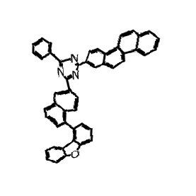 c1ccc(-c2nc(-c3ccc4c(-c5cccc6oc7ccccc7c56)cccc4c3)nc(-c3ccc4c(ccc5c6ccccc6ccc45)c3)n2)cc1